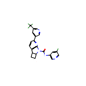 O=C(Nc1cncc(F)c1)N1c2nc(-c3cncc(C(F)(F)F)c3)ccc2C2C[C@@H](O)C21